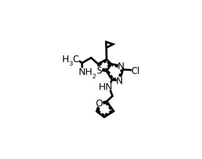 CC(N)Cc1sc2c(NCc3ccco3)nc(Cl)nc2c1C1CC1